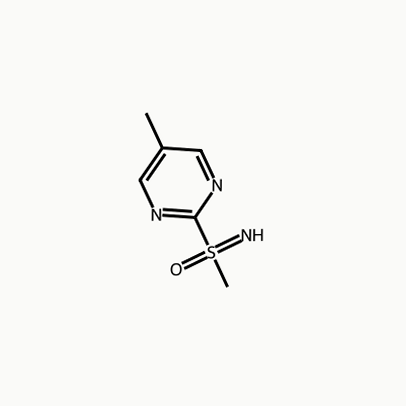 Cc1cnc(S(C)(=N)=O)nc1